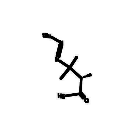 C[C@H](C(=O)S)C(C)(C)N=NC(C)(C)C